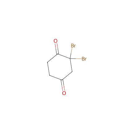 O=C1CCC(=O)C(Br)(Br)C1